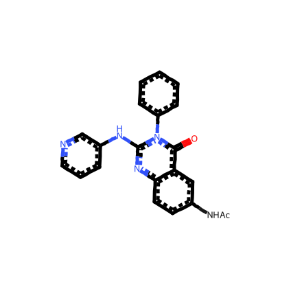 CC(=O)Nc1ccc2nc(Nc3cccnc3)n(-c3ccccc3)c(=O)c2c1